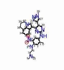 Cc1cc(N(C)CCN(C)C)c([N+](=O)[O-])cc1Nc1ncc(-c2cnn(C)c2)c(-c2cn3c4c(cccc24)CCC3)n1